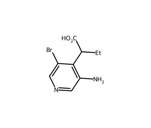 CCC(C(=O)O)c1c(N)cncc1Br